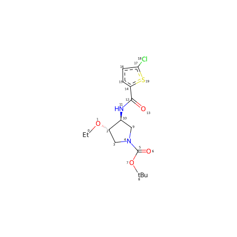 CCO[C@H]1CN(C(=O)OC(C)(C)C)C[C@@H]1NC(=O)c1ccc(Cl)s1